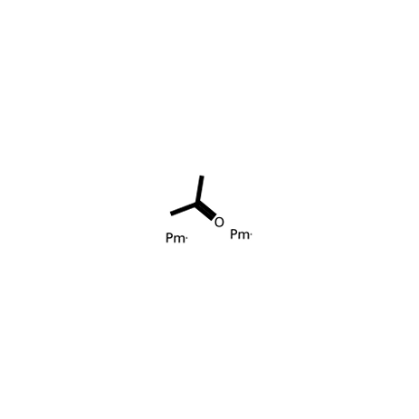 CC(C)=O.[Pm].[Pm]